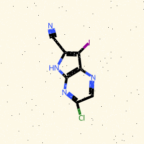 N#Cc1[nH]c2nc(Cl)cnc2c1I